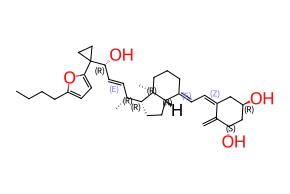 C=C1/C(=C\C=C2/CCC[C@]3(C)[C@@H]([C@H](C)/C=C/[C@@H](O)C4(c5ccc(CCCC)o5)CC4)CC[C@@H]23)C[C@@H](O)C[C@@H]1O